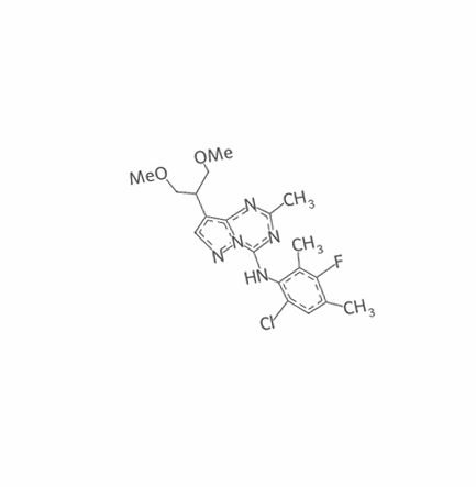 COCC(COC)c1cnn2c(Nc3c(Cl)cc(C)c(F)c3C)nc(C)nc12